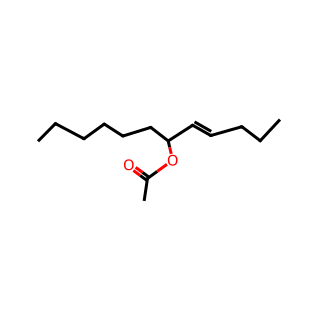 CCCC=CC(CCCCCC)OC(C)=O